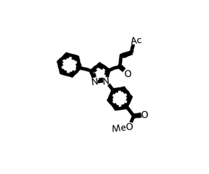 COC(=O)c1ccc(-n2nc(-c3ccccc3)cc2C(=O)/C=C/C(C)=O)cc1